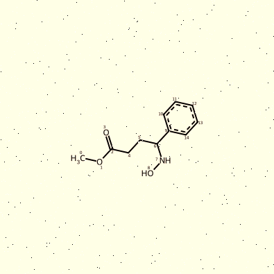 COC(=O)CCC(NO)c1ccccc1